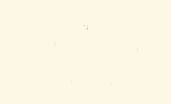 Fc1c(Cl)ncc(Br)c1Cl